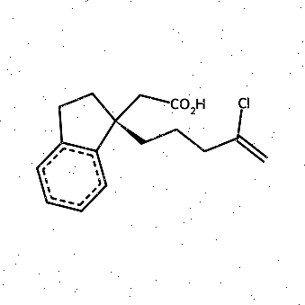 C=C(Cl)CCC[C@]1(CC(=O)O)CCc2ccccc21